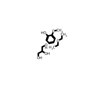 CCOCC.COc1ccccc1O.OCC(O)CO